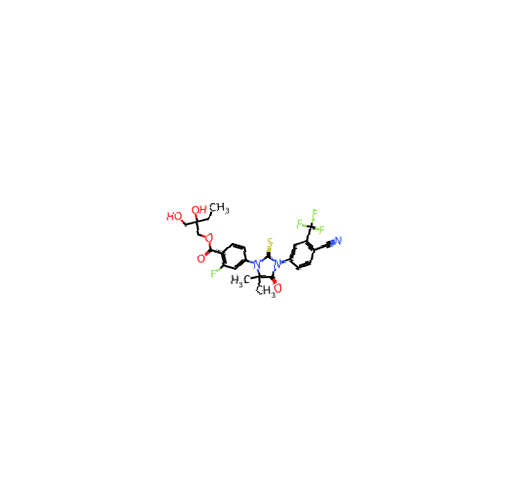 CCC(O)(CO)COC(=O)c1ccc(N2C(=S)N(c3ccc(C#N)c(C(F)(F)F)c3)C(=O)C2(C)C)cc1F